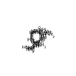 N=C(N)NCCC[C@H](NC(=O)CC1CCCC1)C(=O)N[C@H]1CC(=O)NCCCC[C@@H](C(N)=O)NC(=O)[C@H](Cc2c[nH]c3ccccc23)NC(=O)[C@H](CCCNC(=N)N)NC(=O)[C@@H](Cc2ccccc2)NC(=O)[C@H](CCN)NC1=O